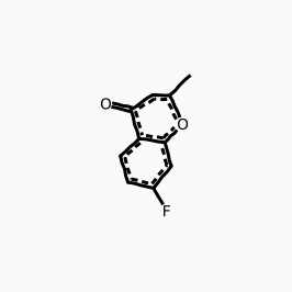 Cc1cc(=O)c2ccc(F)cc2o1